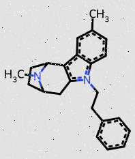 Cc1ccc2c(c1)c1c(n2CCc2ccccc2)CC2CCC1N2C